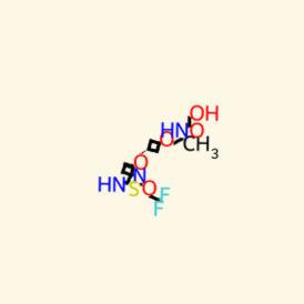 C[C@@H](CO[C@H]1C[C@H](COC2=CCC23N=C(OCC(F)F)SC3=N)C1)NC(=O)CO